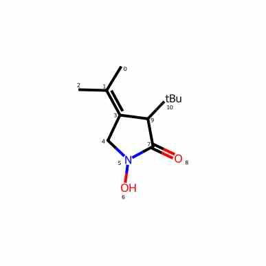 CC(C)=C1CN(O)C(=O)C1C(C)(C)C